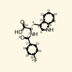 O=C(N[C@@H](Cc1c[nH]c2ccccc12)C(=O)O)c1ccc(F)cc1